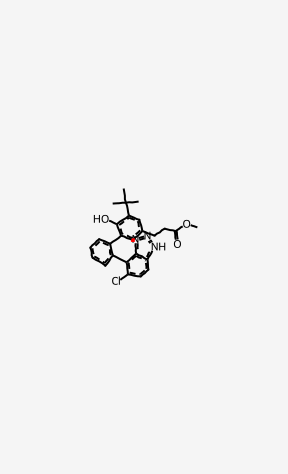 COC(=O)CCc1cc(-c2ccccc2-c2c(Cl)ccc3[nH]nnc23)c(O)c(C(C)(C)C)c1